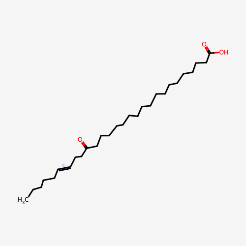 CCCCC/C=C/CCC(=O)CCCCCCCCCCCCCCCCCC(=O)O